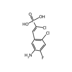 Nc1cc(/C=C(\Cl)P(=O)(O)O)c(Cl)cc1F